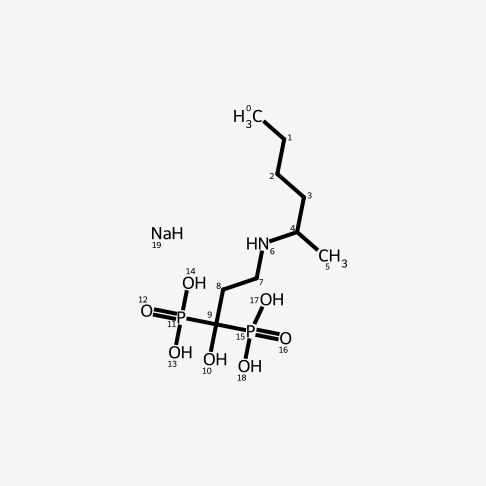 CCCCC(C)NCCC(O)(P(=O)(O)O)P(=O)(O)O.[NaH]